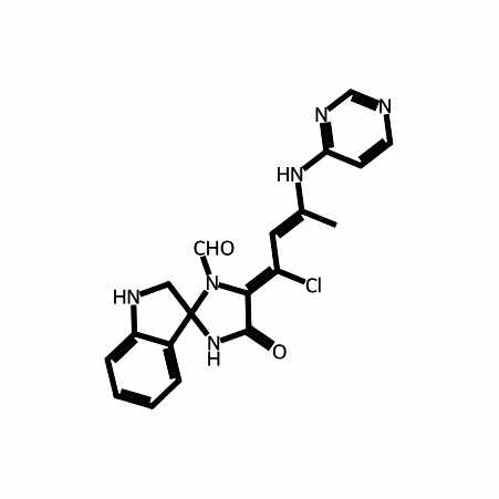 C/C(=C\C(Cl)=C1\C(=O)NC2(CNc3ccccc32)N1C=O)Nc1ccncn1